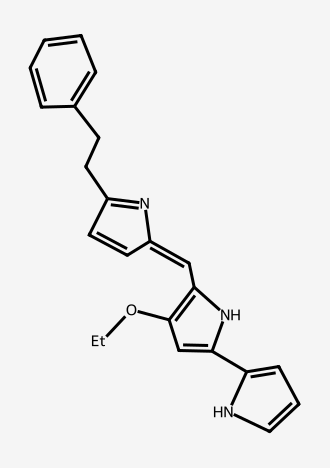 CCOc1cc(-c2ccc[nH]2)[nH]c1C=C1C=CC(CCc2ccccc2)=N1